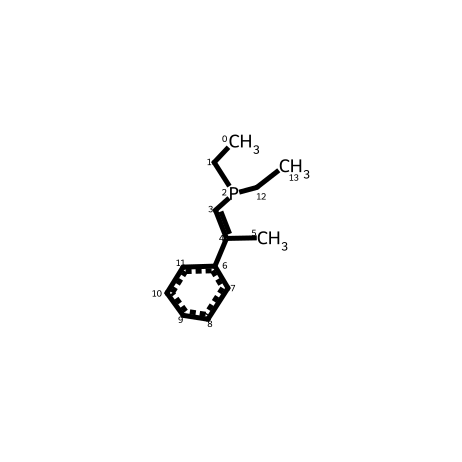 CCP(C=C(C)c1ccccc1)CC